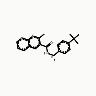 Cc1nc2ncccc2cc1C(=O)N[C@@H](C)c1ccc(C(C)(C)C)cc1